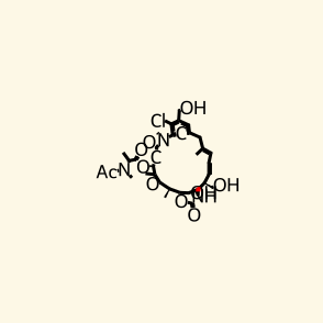 CC(=O)N(C)C(C)C(=O)O[C@H]1CC(=O)N(C)c2cc(cc(CO)c2Cl)C/C(C)=C/C=C/[C@@H](CO)[C@@]2(O)CC(OC(=O)N2)[C@@H](C)C2OC21C